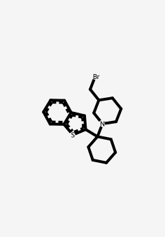 BrCC1CCCN(C2(c3cc4ccccc4s3)CCCCC2)C1